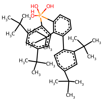 CC(C)(C)c1ccc(-c2cccc(P(O)(O)(O)c3ccc(C(C)(C)C)cc3C(C)(C)C)c2C(C)(C)C)c(C(C)(C)C)c1